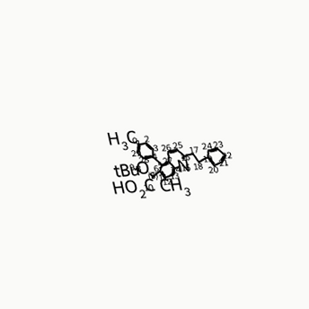 Cc1ccc(-c2c([C@H](OC(C)(C)C)C(=O)O)c(C)cc3nc(CCc4ccccc4)ccc23)cc1